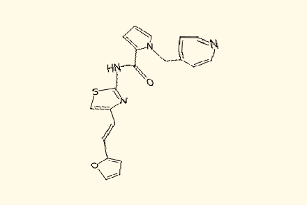 O=C(Nc1nc(/C=C/c2ccco2)cs1)c1cccn1Cc1ccncc1